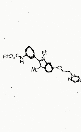 CCOC(=O)Nc1cccc(C2C(C#N)c3ccc(OCCn4cncn4)cc3N2CC)c1